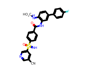 N#Cc1cncc(S(=N)(=O)c2ccc(C(=O)Nc3cc(-c4ccc(F)cc4)ccc3NC(=O)O)cc2)c1